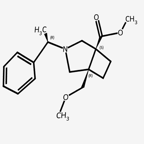 COC[C@]12CC[C@@]1(C(=O)OC)CN([C@H](C)c1ccccc1)C2